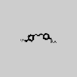 C=Cc1ccc(CCCc2ccc(COC)cc2)cc1